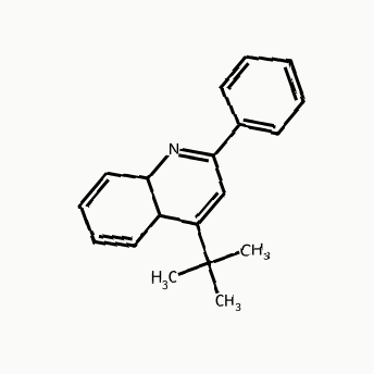 CC(C)(C)C1=CC(c2ccccc2)=NC2C=CC=CC12